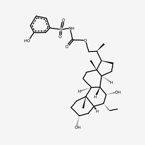 CC[C@H]1[C@@H](O)[C@@H]2[C@H](CC[C@]3(C)[C@@H]([C@H](C)COC(=O)NS(=O)(=O)c4cccc(O)c4)CC[C@@H]23)[C@@]2(C)CC[C@@H](O)C[C@@H]12